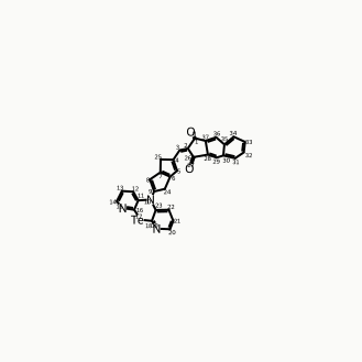 O=C1C(=CC2=CC3=C(C=C(N4c5cccnc5[Te]c5ncccc54)C3)C2)C(=O)c2cc3ccccc3cc21